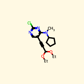 CCOC(C#Cc1cnc(Cl)nc1N(C)C1CCCC1)OCC